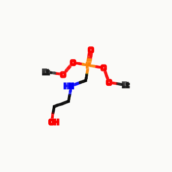 CCOOP(=O)(CNCCO)OOCC